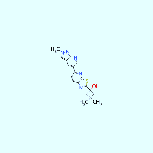 Cn1cc2cc(-c3ccc4nc(C5(O)CC(C)(C)C5)sc4n3)cnc2n1